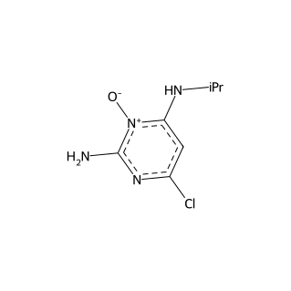 CC(C)Nc1cc(Cl)nc(N)[n+]1[O-]